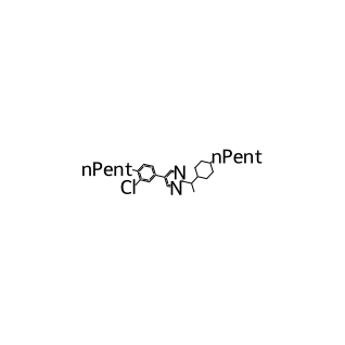 CCCCCc1ccc(-c2cnc(C(C)C3CCC(CCCCC)CC3)nc2)cc1Cl